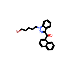 O=C(c1cccc2ccccc12)c1nn(CCCCCBr)c2ccccc12